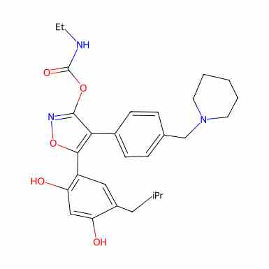 CCNC(=O)Oc1noc(-c2cc(CC(C)C)c(O)cc2O)c1-c1ccc(CN2CCCCC2)cc1